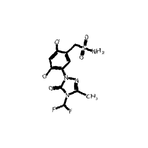 Cc1nn(-c2cc(CS(N)(=O)=O)c(Cl)cc2Cl)c(=O)n1C(F)F